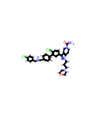 NC(=O)N1CCc2c(c(-c3ccc(Cl)c(-c4ccc(CNCc5ccc(Cl)cc5)cc4)c3)nn2CCCN2CCOCC2)C1